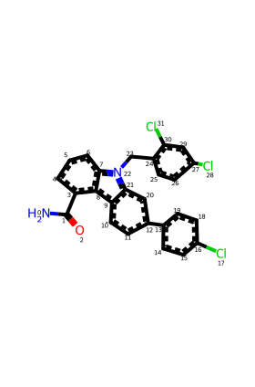 NC(=O)c1cccc2c1c1[c]cc(-c3ccc(Cl)cc3)cc1n2Cc1ccc(Cl)cc1Cl